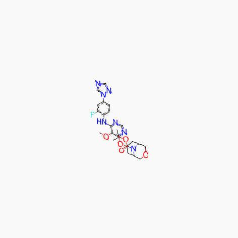 COc1c(Nc2ccc(-n3cncn3)cc2F)ncnc1OC1CC2COCC(C1)N2C(=O)OC(C)C